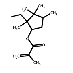 C=C(C)C(=O)OC1CC(C)C(C)(C)C1(C)CI